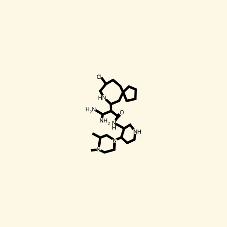 CC1CN(C2CCNCC2NC(=O)C(C(N)N)C2CC3(CCCC3)CCC(Cl)CN2)CCN1C